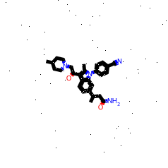 Cc1c(C(=O)CN2CCC(C)CC2)c2ccc(C(C)CC(N)=O)cc2n1-c1ccc(C#N)cc1